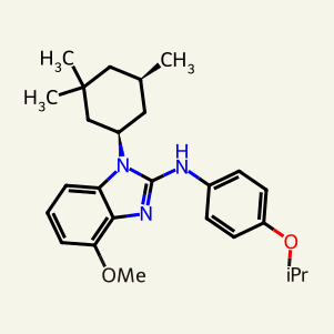 COc1cccc2c1nc(Nc1ccc(OC(C)C)cc1)n2[C@@H]1C[C@H](C)CC(C)(C)C1